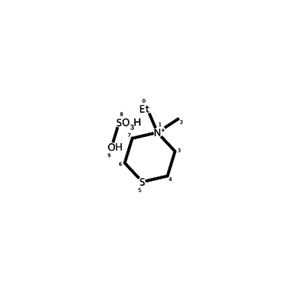 CC[N+]1(C)CCSCC1.O=S(=O)(O)O